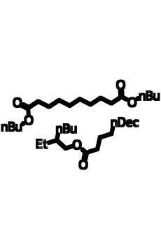 CCCCCCCCCCCCCC(=O)OCC(CC)CCCC.CCCCOC(=O)CCCCCCCCC(=O)OCCCC